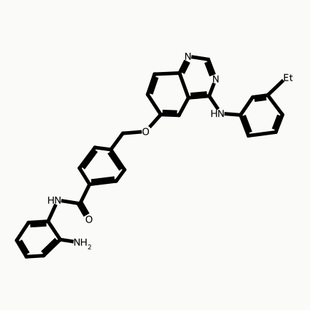 CCc1cccc(Nc2ncnc3ccc(OCc4ccc(C(=O)Nc5ccccc5N)cc4)cc23)c1